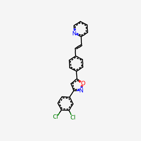 Clc1ccc(-c2cc(-c3ccc(C=Cc4ccccn4)cc3)on2)cc1Cl